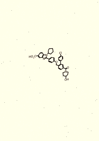 O=C(O)c1ccc2c(c1)nc(-c1ccc(OCc3ccc(C(=O)N4CCC(O)CC4)cc3-c3ccc(Cl)cc3)cc1)n2C1CCCCC1